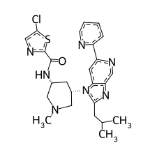 CC(C)Cc1nc2cnc(-c3ccccn3)cc2n1[C@H]1C[C@@H](NC(=O)c2ncc(Cl)s2)CN(C)C1